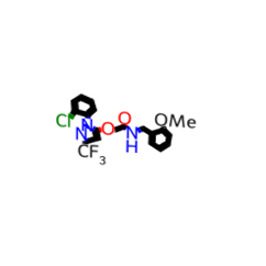 COc1ccccc1CNC(=O)COc1cc(C(F)(F)F)nn1-c1ccccc1Cl